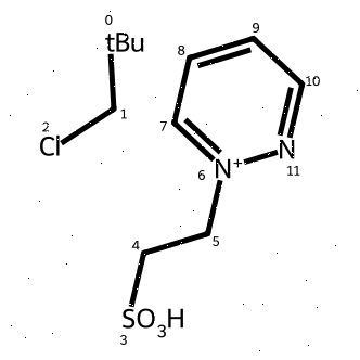 CC(C)(C)CCl.O=S(=O)(O)CC[n+]1ccccn1